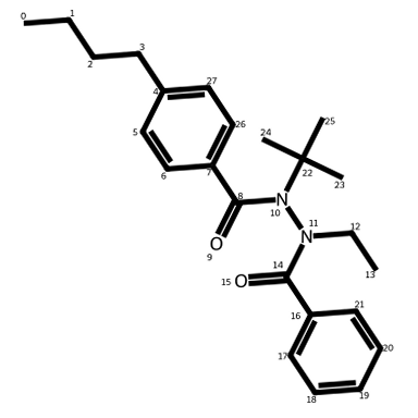 CCCCc1ccc(C(=O)N(N(CC)C(=O)c2ccccc2)C(C)(C)C)cc1